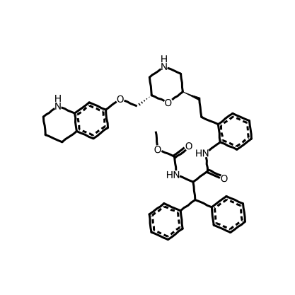 COC(=O)NC(C(=O)Nc1ccccc1CC[C@@H]1CNC[C@@H](COc2ccc3c(c2)NCCC3)O1)C(c1ccccc1)c1ccccc1